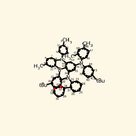 Cc1ccc(N2c3ccc(C)cc3B3c4cc(C(C)(C)C)ccc4N(c4ccccc4-c4ccccc4)c4cc(N(c5ccc(C(C)(C)C)cc5)c5ccc(C)cc5C)cc2c43)cc1